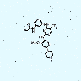 C=CC(=O)Nc1cccc(Nc2nc(Nc3cnc(N4CCN(C)CC4)cc3OC)ncc2C(F)(F)F)c1